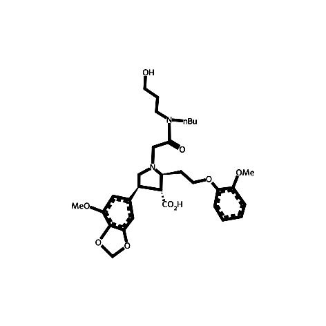 CCCCN(CCCO)C(=O)CN1C[C@H](c2cc(OC)c3c(c2)OCO3)[C@@H](C(=O)O)[C@@H]1CCOc1ccccc1OC